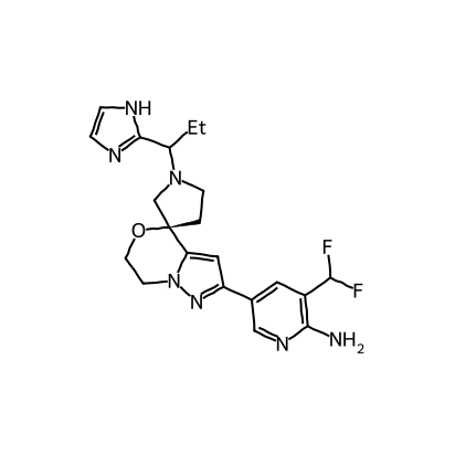 CCC(c1ncc[nH]1)N1CC[C@]2(C1)OCCn1nc(-c3cnc(N)c(C(F)F)c3)cc12